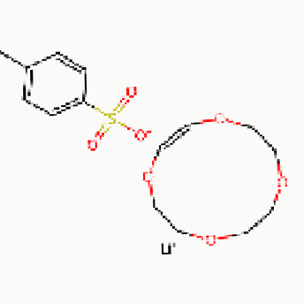 C1=COCCOCCOCCO1.Cc1ccc(S(=O)(=O)[O-])cc1.[Li+]